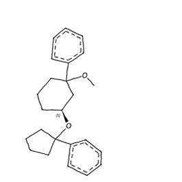 COC1(c2ccccc2)CCC[C@H](OC2(c3ccccc3)CCCC2)C1